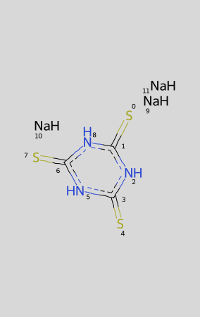 S=c1[nH]c(=S)[nH]c(=S)[nH]1.[NaH].[NaH].[NaH]